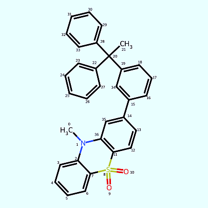 CN1c2ccccc2S(=O)(=O)c2ccc(-c3cccc(C(C)(c4ccccc4)c4ccccc4)c3)cc21